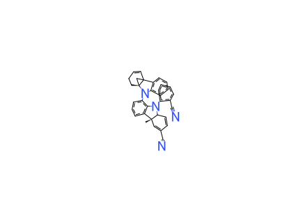 C[C@]12C=C(C#N)C=CC1N(c1ccccc1C#N)c1c(N3c4ccccc4C45C=CCC[C@]34C5)cccc12